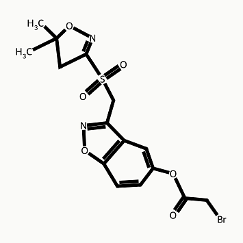 CC1(C)CC(S(=O)(=O)Cc2noc3ccc(OC(=O)CBr)cc23)=NO1